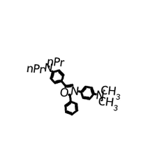 CCCN(CCC)c1ccc(C2=CN(c3ccc(N(C)C)cc3)C(c3ccccc3)O2)cc1